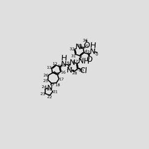 CNC(=O)c1c(Nc2nc(Nc3ccc4c(c3)CCC(N3CCCC3)CC4)ncc2Cl)ccnc1OC